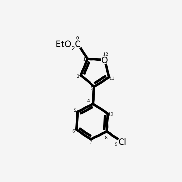 CCOC(=O)c1cc(-c2cccc(Cl)c2)co1